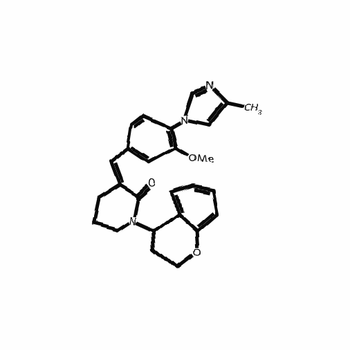 COc1cc(C=C2CCCN(C3CCOc4ccccc43)C2=O)ccc1-n1cnc(C)c1